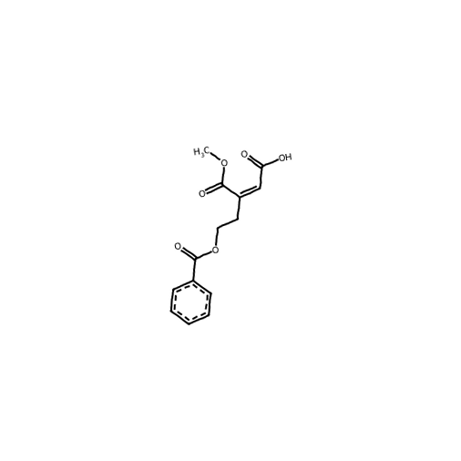 COC(=O)C(=CC(=O)O)CCOC(=O)c1ccccc1